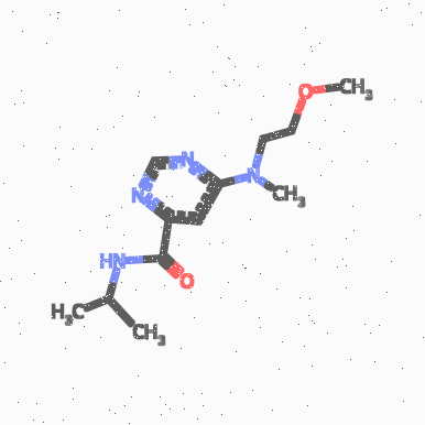 COCCN(C)c1cc(C(=O)NC(C)C)ncn1